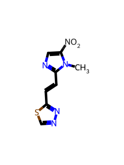 Cn1c([N+](=O)[O-])cnc1C=Cc1nncs1